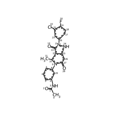 CC(=O)Nc1cccc(-n2c(C)c3c(=O)n(-c4ccc(F)c(Cl)c4)[nH]c3cc2=O)c1